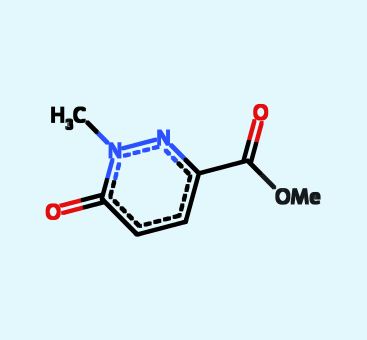 COC(=O)c1ccc(=O)n(C)n1